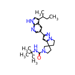 CCC(C)c1c[nH]c2ncc(-c3cc4n(n3)CCC43CCN(C(=O)NC(C)(C)C)C3)cc12